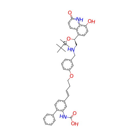 CC(C)(C)[Si](C)(C)O[C@H](CNCc1cccc(OCC/C=C/c2ccc(-c3ccccc3)c(NC(=O)O)c2)c1)c1ccc(O)c2[nH]c(=O)ccc12